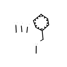 C[O-].C[O-].C[O-].[CH3][Sn+3][CH2]c1ccccc1